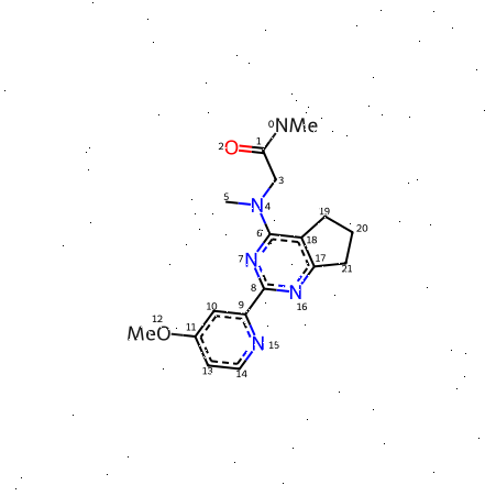 CNC(=O)CN(C)c1nc(-c2cc(OC)ccn2)nc2c1CCC2